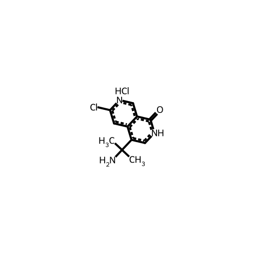 CC(C)(N)c1c[nH]c(=O)c2cnc(Cl)cc12.Cl